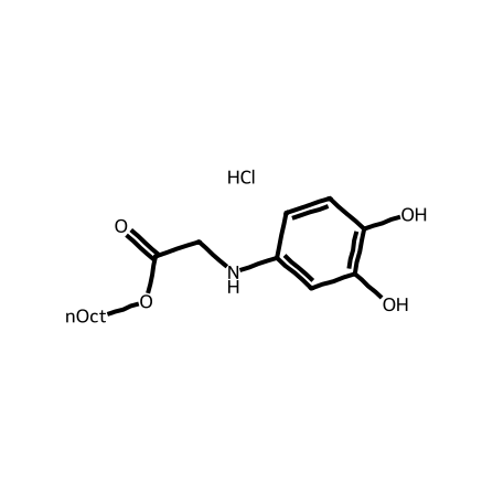 CCCCCCCCOC(=O)CNc1ccc(O)c(O)c1.Cl